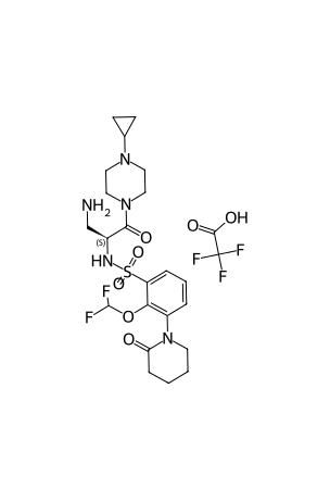 NC[C@H](NS(=O)(=O)c1cccc(N2CCCCC2=O)c1OC(F)F)C(=O)N1CCN(C2CC2)CC1.O=C(O)C(F)(F)F